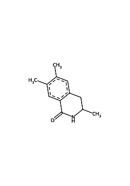 Cc1cc2c(cc1C)C(=O)NC(C)C2